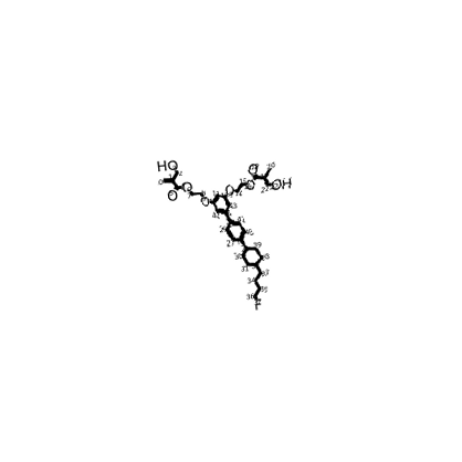 C=C(CO)C(=O)OCCOc1cc(OCCOC(=O)C(C)CO)cc(-c2ccc(C3CCC(CCCCF)CC3)cc2)c1